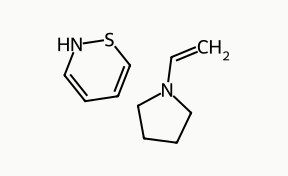 C1=CNSC=C1.C=CN1CCCC1